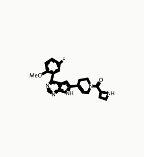 COc1ccc(F)cc1-c1ncnc2[nH]c(C3=CCN(C(=O)C4CCN4)CC3)cc12